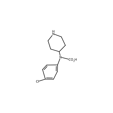 O=C(O)N(c1ccc(Cl)cc1)C1CCNCC1